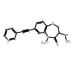 CNC1COc2ccc(C#Cc3cccnc3)cc2N(C)C1=O